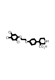 O=C(O)C1=C(c2ccc(OCCOc3cc(Cl)c(Cl)cc3Cl)cc2)CCNC1